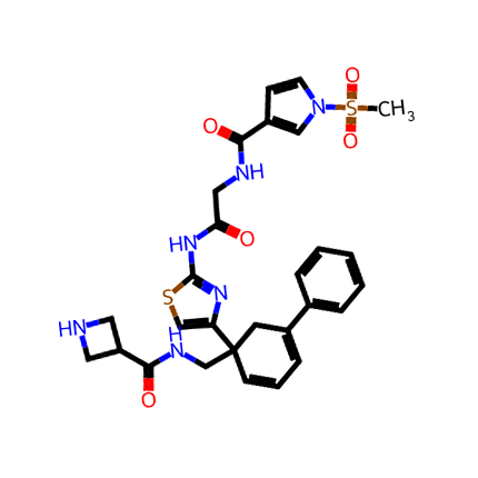 CS(=O)(=O)n1ccc(C(=O)NCC(=O)Nc2nc(C3(CNC(=O)C4CNC4)C=CC=C(c4ccccc4)C3)cs2)c1